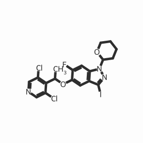 CC(Oc1cc2c(I)nn(C3CCCCO3)c2cc1F)c1c(Cl)cncc1Cl